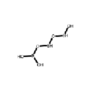 OBOBOB(O)O